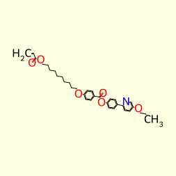 C=CC(=O)OCCCCCCCCCCOc1ccc(C(=O)Oc2ccc(-c3ccc(OCCC)cn3)cc2)cc1